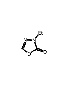 CCn1ncoc1=O